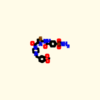 NS(=O)(=O)c1ccc(C(=O)Nc2nc(C(=O)N3CCN(Cc4ccc5c(c4)OCO5)CC3)cs2)cc1